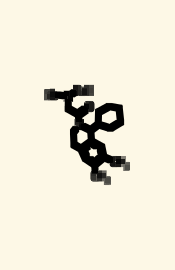 Cc1cc2c(cc1C)C(C1CCCCC1)N(C(=O)C[N]([Rb])[RaH])CC2